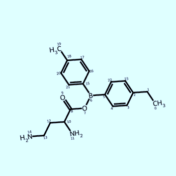 CCc1ccc(B(OC(=O)C(N)CCN)c2ccc(C)cc2)cc1